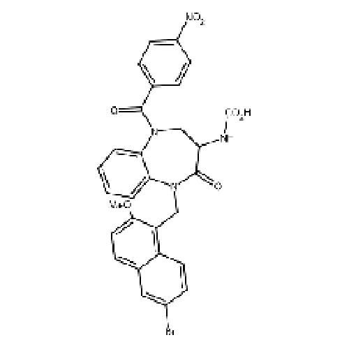 COc1ccc2cc(Br)ccc2c1CN1C(=O)C(NC(=O)O)CN(C(=O)c2ccc([N+](=O)[O-])cc2)c2ccccc21